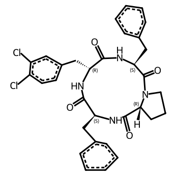 O=C1N[C@H](Cc2ccc(Cl)c(Cl)c2)C(=O)N[C@@H](Cc2ccccc2)C(=O)N2CCC[C@@H]2C(=O)N[C@H]1Cc1ccccc1